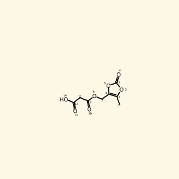 Cc1oc(=O)oc1COC(=O)CC(=O)O